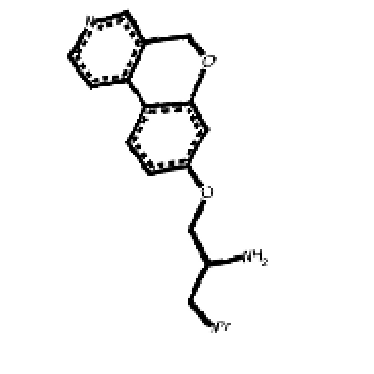 CC(C)CC(N)COc1ccc2c(c1)OCc1cnccc1-2